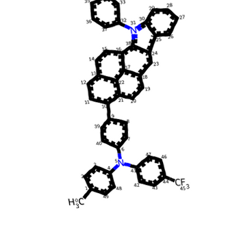 Cc1ccc(N(c2ccc(-c3ccc4ccc5c6c(ccc3c46)cc3c4ccccc4n(-c4ccccc4)c35)cc2)c2ccc(C(F)(F)F)cc2)cc1